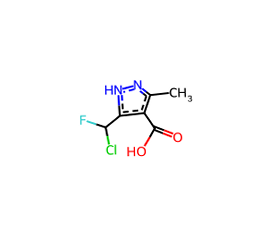 Cc1n[nH]c(C(F)Cl)c1C(=O)O